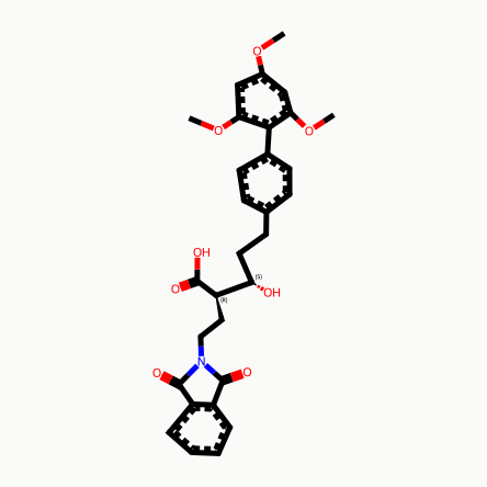 COc1cc(OC)c(-c2ccc(CC[C@H](O)[C@@H](CCN3C(=O)c4ccccc4C3=O)C(=O)O)cc2)c(OC)c1